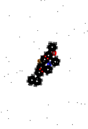 c1cc(-c2cccc(N(c3ccccc3-c3cccc4c3oc3ccccc34)c3cccc4sc5ccccc5c34)c2)cc(-c2cccc3ccccc23)c1